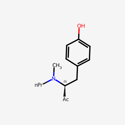 CCCN(C)[C@@H](Cc1ccc(O)cc1)C(C)=O